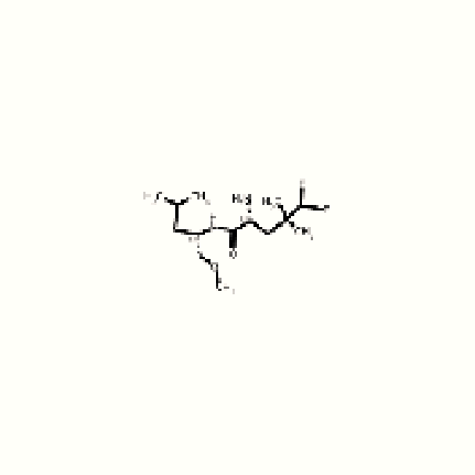 COC[C@H](CC(C)C)NC(=O)[C@H](N)CC(C)(C)C(F)F